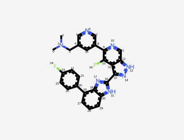 CN(C)Cc1cncc(-c2ncc3[nH]nc(-c4nc5c(-c6ccc(F)cc6)cccc5[nH]4)c3c2F)c1